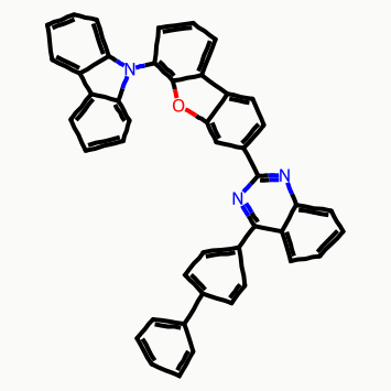 c1ccc(-c2ccc(-c3nc(-c4ccc5c(c4)oc4c(-n6c7ccccc7c7ccccc76)cccc45)nc4ccccc34)cc2)cc1